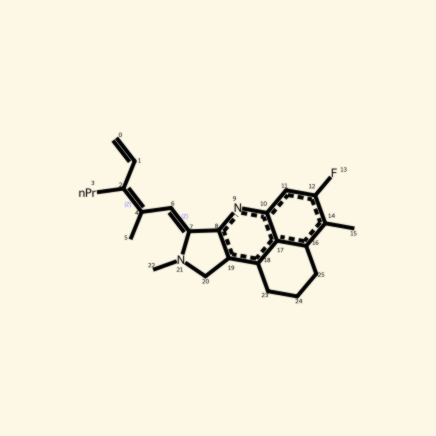 C=C/C(CCC)=C(C)\C=C1\c2nc3cc(F)c(C)c4c3c(c2CN1C)CCC4